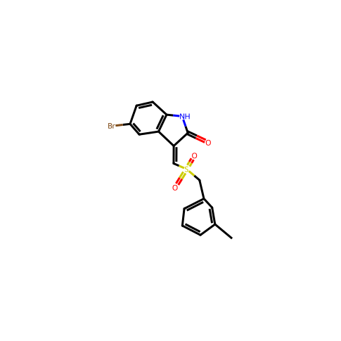 Cc1cccc(CS(=O)(=O)C=C2C(=O)Nc3ccc(Br)cc32)c1